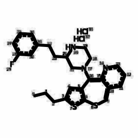 CCCc1cc2c(s1)SC=c1cccnc1=C2N1CCNC(CCc2cccc(F)c2)C1.Cl.Cl